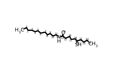 CCCCCCCCCCCCNC(=O)CCCCC(S)CCCC